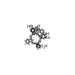 O=C(O)Cn1c2nc3nc(nc4c5cccc(S(=O)(=O)Nc6ccc(O)cc6)c5c(nc5nc(nc1c1ccccc12)-c1ccccc1-5)n4-c1ccc(O)cc1)-c1ccccc1-3.[Co]